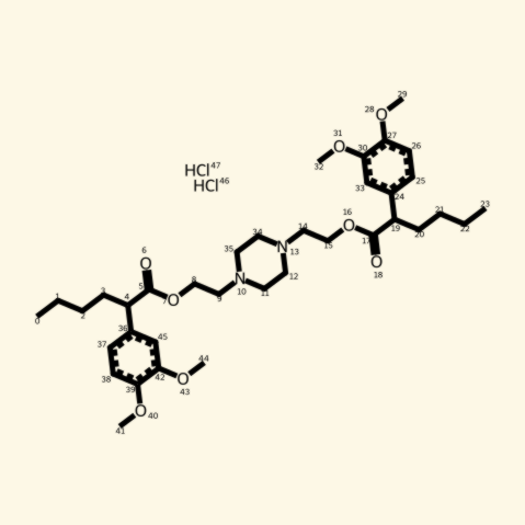 CCCCC(C(=O)OCCN1CCN(CCOC(=O)C(CCCC)c2ccc(OC)c(OC)c2)CC1)c1ccc(OC)c(OC)c1.Cl.Cl